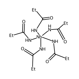 CCC(=O)[NH][Nb]([NH]C(=O)CC)([NH]C(=O)CC)([NH]C(=O)CC)[NH]C(=O)CC